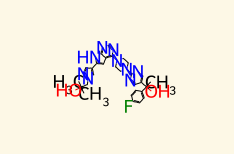 CC(C)(O)Cn1cc(-c2cc3c(N4CCN(c5ncc(C(C)(O)c6ccc(F)cc6)cn5)CC4)ncnc3[nH]2)cn1